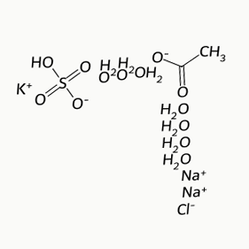 CC(=O)[O-].O.O.O.O.O.O.O.O=S(=O)([O-])O.[Cl-].[K+].[Na+].[Na+]